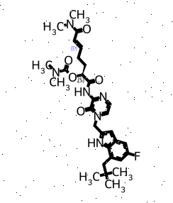 CN(C)C(=O)/C=C/CC[C@H](OC(=O)N(C)C)C(=O)Nc1nccn(Cc2cc3cc(F)cc(CC(C)(C)C)c3[nH]2)c1=O